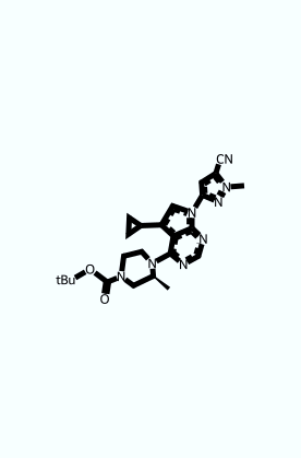 C[C@H]1CN(C(=O)OC(C)(C)C)CCN1c1ncnc2c1c(C1CC1)cn2-c1cc(C#N)n(C)n1